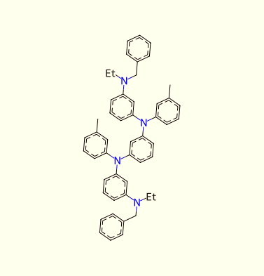 CCN(Cc1ccccc1)c1cccc(N(c2cccc(C)c2)c2cccc(N(c3cccc(C)c3)c3cccc(N(CC)Cc4ccccc4)c3)c2)c1